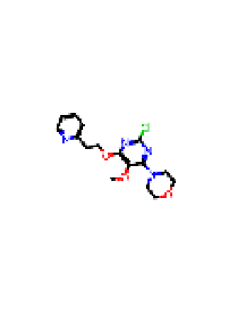 COc1c(OCCc2ccccn2)nc(Cl)nc1N1CCOCC1